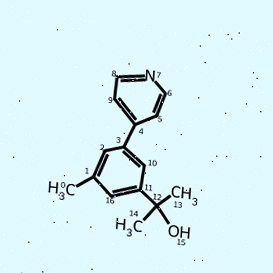 Cc1cc(-c2ccncc2)cc(C(C)(C)O)c1